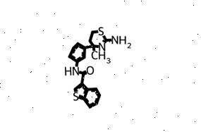 CC1(c2cccc(NC(=O)c3csc4ccccc34)c2)CCSC(N)=N1